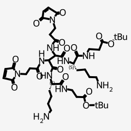 CC(C)(C)OC(=O)CCNC(=O)[C@H](CCCCN)NC(=O)C(NC(=O)CCN1C(=O)C=CC1=O)C(NC(=O)CCN1C(=O)C=CC1=O)C(=O)N[C@@H](CCCCN)C(=O)NCCC(=O)OC(C)(C)C